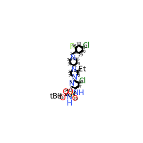 CC[C@H]1CN(c2ncc(NS(=O)(=O)NC(=O)OC(C)(C)C)cc2Cl)CCN1C1CCN(Cc2ccc(Cl)cc2F)CC1